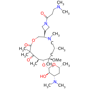 CO[C@]1(C)C[C@@H](C)CN(C)[C@H](C2CN(C(=O)CCN(C)C)C2)COC(=O)C(C)(C)C(=O)[C@H](C)[C@H]1O[C@@H]1O[C@H](C)C[C@H](N(C)C)[C@H]1O